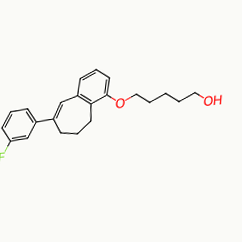 OCCCCCOc1cccc2c1CCCC(c1cccc(F)c1)=C2